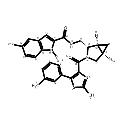 Cc1cccc(-c2sc(C)nc2C(=O)N2C[C@@H]3C[C@@H]3[C@H]2CNC(=O)c2cc3cc(F)ccc3n2C)c1